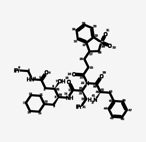 CC(C)CNC(=O)C[C@H](O)[C@H](CC1CCCCC1)NC(=O)[C@H](CC(C)C)N(C(=O)CCC1CS(=O)(=O)c2ccccc21)C(=O)[C@@H](N)Cc1ccccc1